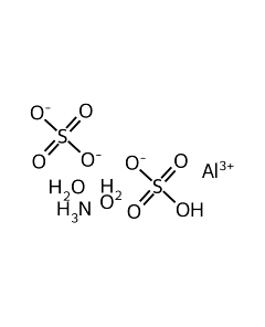 N.O.O.O=S(=O)([O-])O.O=S(=O)([O-])[O-].[Al+3]